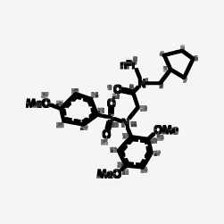 CCCN(CC1CCCC1)C(=O)CN(c1cc(OC)ccc1OC)S(=O)(=O)c1ccc(OC)cc1